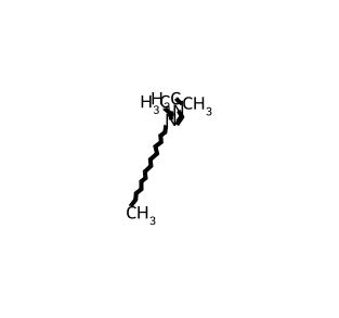 CCCCCCCCCCCCCCCCN1C=CN(C(C)C)C1CC